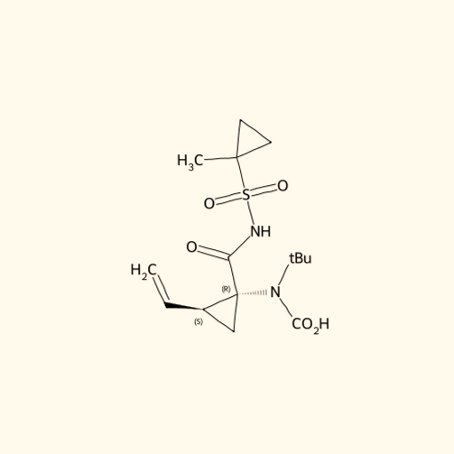 C=C[C@@H]1C[C@@]1(C(=O)NS(=O)(=O)C1(C)CC1)N(C(=O)O)C(C)(C)C